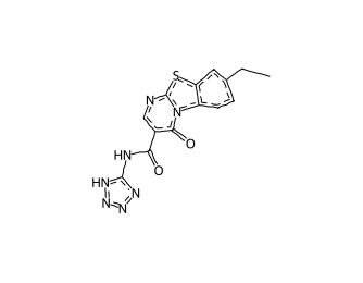 CCc1ccc2c(c1)sc1ncc(C(=O)Nc3nnn[nH]3)c(=O)n12